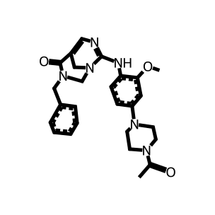 COc1cc(N2CCN(C(C)=O)CC2)ccc1NC1=NC=C2CN1CN(Cc1ccccc1)C2=O